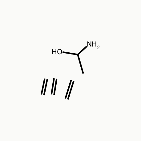 C=C.C=C.C=C.CC(N)O